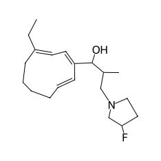 CC\C1=C/C=C(C(O)C(C)CN2CCC(F)C2)\C=C\CCCC1